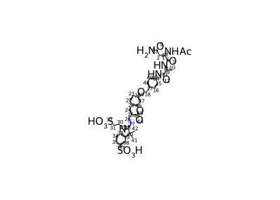 CC(=O)N[C@H](CC(N)=O)C(=O)N[C@@H](C)C(=O)Nc1ccc(COc2ccc3cc(/C=C/C4=[N+](CCS(=O)(=O)O)c5ccc(S(=O)(=O)O)cc5C4(C)C)c(=O)oc3c2)cc1